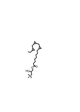 CCC1CC1CC1CC1CC1CC1CCCCCCCC(=O)OCC(O)C[N+](C)(C)C